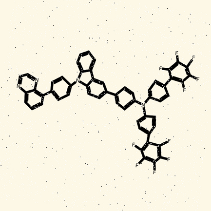 Fc1c(F)c(F)c(-c2ccc(N(c3ccc(-c4ccc5c(c4)c4ccccc4n5-c4ccc(-c5cccc6nccnc56)cc4)cc3)c3ccc(-c4c(F)c(F)c(F)c(F)c4F)cc3)cc2)c(F)c1F